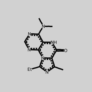 CCc1nc(C)c2c(=O)[nH]c3c(N(C)C)ncnc3n12